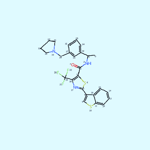 CC(NC(=O)c1sc(-c2csc3ccccc23)nc1C(F)(F)F)c1cccc(CN2CCCC2)c1